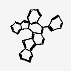 [C]1=c2ccccc2=c2ccc(=C(c3ccccc3)c3ccccc3)c(C3C=Cc4ccccc43)c21